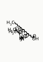 CC(C)(C)NC[C@H](O)COc1nsnc1N1CCOCC1.CCCCCCCCC=CCCCCCCCC(=O)O